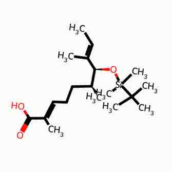 C/C=C(\C)[C@@H](O[Si](C)(C)C(C)(C)C)[C@@H](C)CC/C=C(\C)C(=O)O